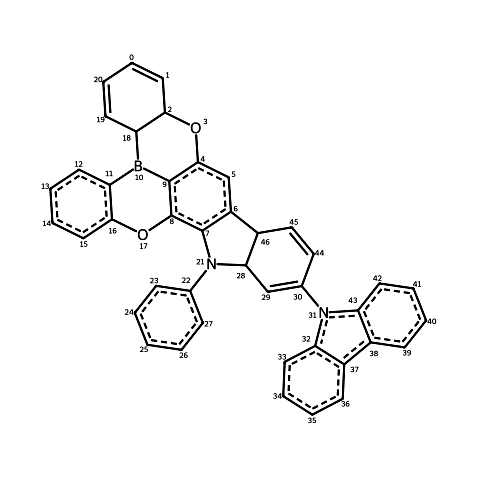 C1=CC2Oc3cc4c(c5c3B(c3ccccc3O5)C2C=C1)N(c1ccccc1)C1C=C(n2c3ccccc3c3ccccc32)C=CC41